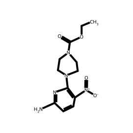 CCOC(=O)N1CCN(c2nc(N)ccc2[N+](=O)[O-])CC1